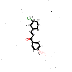 Bc1ccc(C(=O)/C=C/c2cccc(Cl)c2)cc1